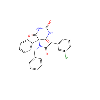 O=C1NC(=O)C(c2ccccc2)(N(Cc2ccccc2)C(=O)Cc2cccc(Br)c2)C(=O)N1